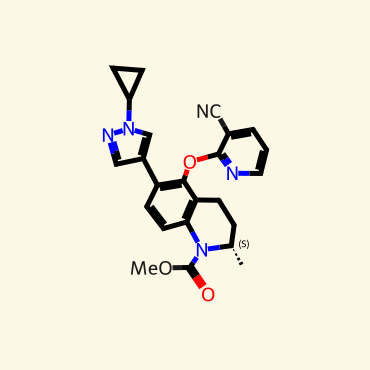 COC(=O)N1c2ccc(-c3cnn(C4CC4)c3)c(Oc3ncccc3C#N)c2CC[C@@H]1C